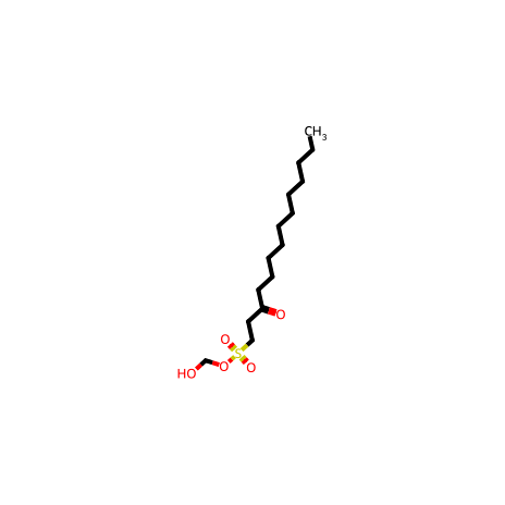 CCCCCCCCCCCC(=O)CCS(=O)(=O)OCO